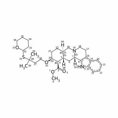 COC(=O)[C@@H]1[C@H]2C[C@H]3c4[nH]c5ccccc5c4CCN3C[C@@H]2CC[C@@H]1OCCC(C)(C)SC1CCCCO1